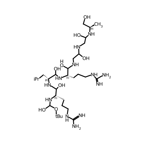 CC(C)C[C@@H](NC(O)[C@H](CCCNC(=N)N)NC(O)OC(C)(C)C)C(O)N[C@@H](CCCNC(=N)N)C(O)NCC(O)NCC(O)N[C@H](C)CO